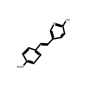 CNc1ccc(/C=C/c2ccc(O)nc2)cc1